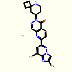 Cc1cn2nc(-c3ccc4c(=O)n(C5CCNC6(CCC6)C5)ncc4n3)cc(C)c2n1.Cl